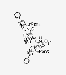 C=C(C)OC(=O)N[C@@H](CSSC[C@H](NC(=O)OC(C)(C)C)C(=O)N1CCn2nc(-c3ccccc3)cc2C1CCCCC)C(=O)N1CCn2nc(-c3ccccc3)cc2C1CCCCC